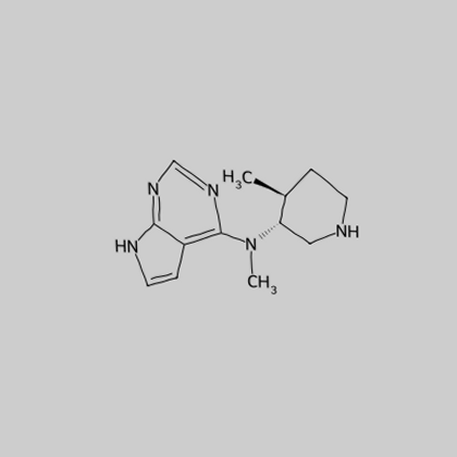 C[C@H]1CCNC[C@@H]1N(C)c1ncnc2[nH]ccc12